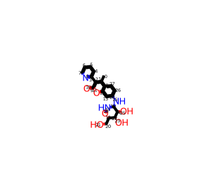 Cc1c(-c2ccccn2)c(=O)oc2cc(NC3NOC(CO)[C@H](O)C3O)ccc12